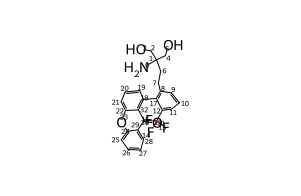 NC(CO)(CO)CCc1cccc(C(F)(F)F)c1-c1cccc2oc3ccccc3c(=O)c12